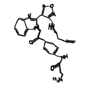 C#CCCNc1nonc1-c1nc2ccccc2n1CC(=O)c1ccc(NC(=O)CN)cc1